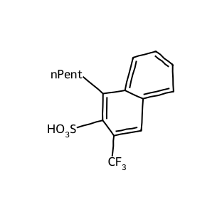 CCCCCc1c(S(=O)(=O)O)c(C(F)(F)F)cc2ccccc12